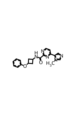 Cn1cncc1-c1ccnc(C(=O)NC2CC(Oc3ccccc3)C2)n1